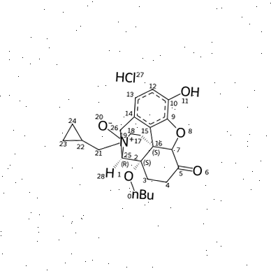 CCCCO[C@@]12CCC(=O)C3Oc4c(O)ccc5c4[C@@]31CC[N+]([O-])(CC1CC1)[C@@H]2C5.Cl